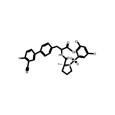 C[C@@]1(C(=O)NC(Cc2ccc(-c3ccc(F)c(C#N)c3)cc2)C(=O)O)CCCN1S(=O)(=O)c1cc(Cl)cc(Cl)c1